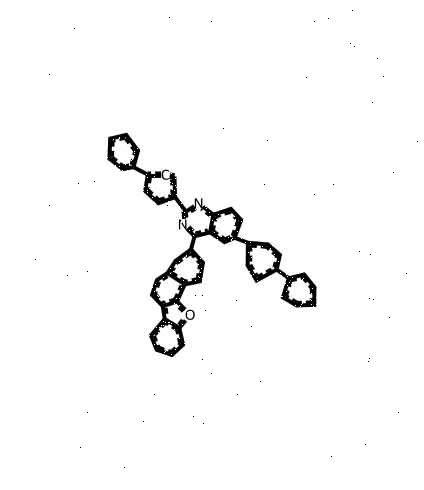 c1ccc(-c2ccc(-c3ccc4nc(-c5ccc(-c6ccccc6)cc5)nc(-c5ccc6c(ccc7c8ccccc8oc67)c5)c4c3)cc2)cc1